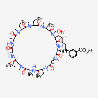 CCC[C@@H]1NC(=O)[C@H]([C@H](O)[C@H](C)CCCc2cccc(C(=O)O)c2)N(C)C(=O)[C@H](C(C)C)N(C)C(=O)[C@H](CC(C)C)N(C)C(=O)[C@H](CC(C)C)N(C)C(=O)[C@H](C)NC(=O)[C@@H](C)NC(=O)[C@@H](CC(C)C)N(C)C(=O)[C@@H](C(C)C)NC(=O)[C@H](CC(C)C)N(C)C(=O)CN(C)C1=O